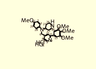 COc1ccc(N(Cc2ccnc(-c3cc(OC)c(OC)c(OC)c3)c2)C2CCNCC2)cc1.Cl.Cl